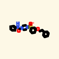 O=C(Nc1ccccc1)N1CCN([S+]([O-])c2cccc(OCCc3ccccc3)c2)CC1